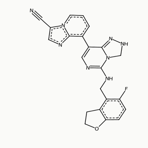 N#Cc1cnc2c(C3=CN=C(NCc4c(F)ccc5c4CCO5)N4CNN=C34)cccn12